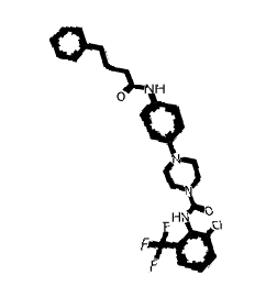 O=C(CCCc1ccccc1)Nc1ccc(N2CCN(C(=O)Nc3c(Cl)cccc3C(F)(F)F)CC2)cc1